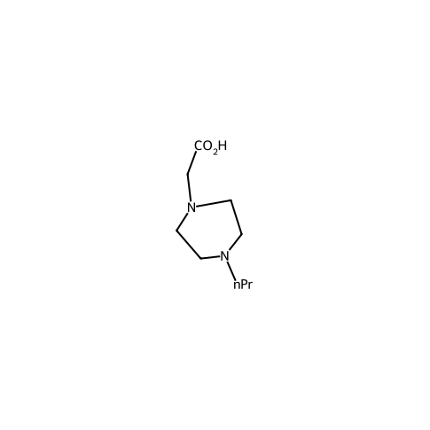 CCCN1CCN(CC(=O)O)CC1